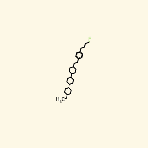 CC[C@H]1CC[C@H](C2CCC(C3CCC(CCc4ccc(CCCCF)cc4)CC3)CC2)CC1